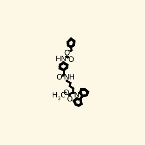 COC(=O)C(CCCCNC(=O)c1ccc(NC(=O)OCc2ccccc2)cc1)n1c2ccccc2c2ccccc21